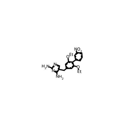 CCOc1cc(Cc2cnc(N)nc2N)cc(OCC)c1-c1cccc([N+](=O)[O-])c1